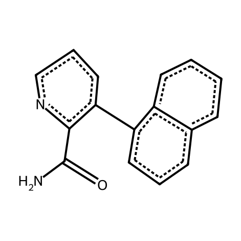 NC(=O)c1ncccc1-c1cccc2ccccc12